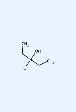 CC[N+]([O-])(O)CC